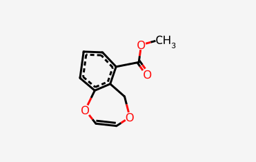 COC(=O)c1cccc2c1COC=CO2